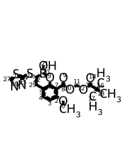 COc1ccc2c(c1C(=O)OCOC(=O)C(C)(C)C)OB(O)[C@@H](Sc1nncs1)C2